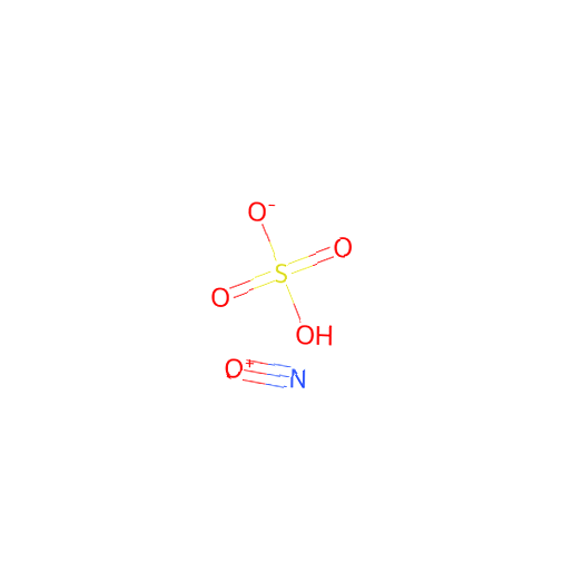 N#[O+].O=S(=O)([O-])O